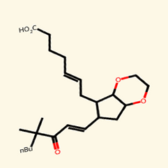 CCCCC(C)(C)C(=O)C=CC1CC2OCCOC2C1CC=CCCCC(=O)O